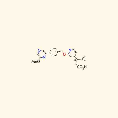 COc1cncc(C2CCC(COc3cc([C@@H](CC(=O)O)C4CC4)ccn3)CC2)n1